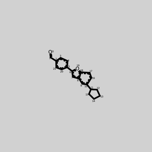 O=Cc1ccc(-c2cc3cc(C4CCCC4)ccc3o2)cc1